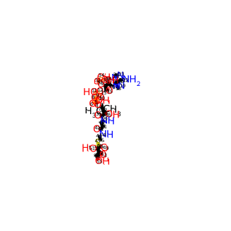 CC(C)(COP(=O)(O)OP(=O)(O)OC[C@H]1O[C@@H](n2cnc3c(N)ncnc32)[C@H](O)[C@@H]1OP(=O)(O)O)[C@@H](O)C(=O)NCCC(=O)NCCSC(=O)C(O)C(=O)CO